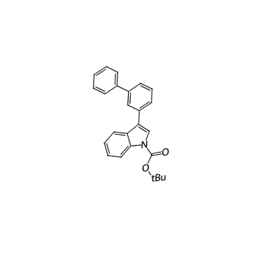 CC(C)(C)OC(=O)n1cc(-c2cccc(-c3ccccc3)c2)c2ccccc21